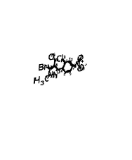 Cn1nc(-c2ccc([N+](=O)[O-])cc2Cl)c(C=O)c1Br